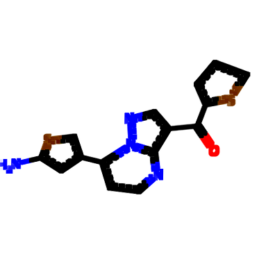 Nc1cc(-c2ccnc3c(C(=O)c4cccs4)cnn23)cs1